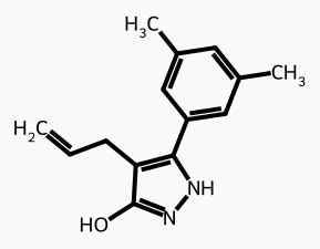 C=CCc1c(O)n[nH]c1-c1cc(C)cc(C)c1